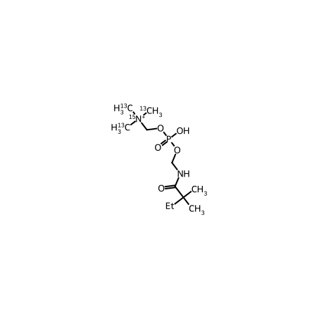 CCC(C)(C)C(=O)NCOP(=O)(O)OC[15N+]([13CH3])([13CH3])[13CH3]